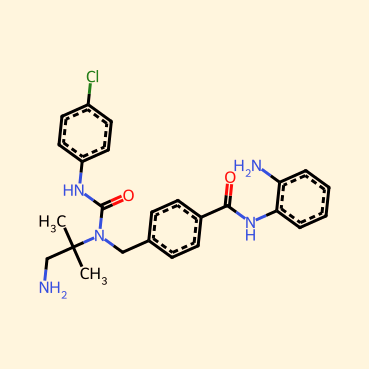 CC(C)(CN)N(Cc1ccc(C(=O)Nc2ccccc2N)cc1)C(=O)Nc1ccc(Cl)cc1